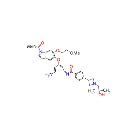 CNC(=O)n1ccc2cc(OC(/C=C/N)=C/C=N\C(=O)c3ccc(C4CN(CC(C)(C)O)C4)cc3)c(OCCOC)cc21